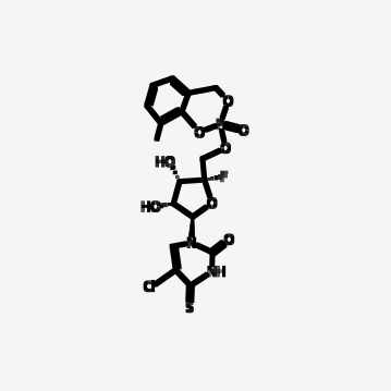 Cc1cccc2c1OP(=O)(OC[C@@]1(F)O[C@@H](n3cc(Cl)c(=S)[nH]c3=O)[C@H](O)[C@@H]1O)OC2